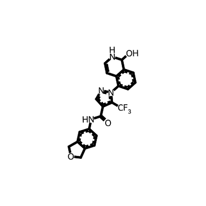 O=C(Nc1ccc2c(c1)COC2)c1cnn(-c2cccc3c2C=CNC3O)c1C(F)(F)F